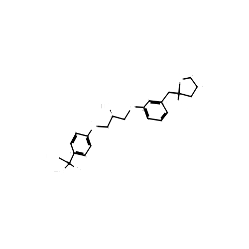 CC(=O)C(C)(O)c1ccc(OC[C@@H](O)COc2cccc(CC3(C(=O)O)CCCO3)c2)cc1